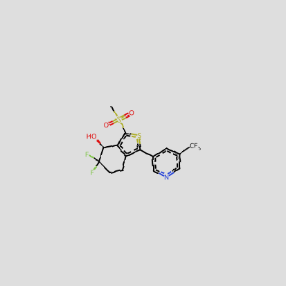 CS(=O)(=O)c1sc(-c2cncc(C(F)(F)F)c2)c2c1[C@H](O)C(F)(F)CC2